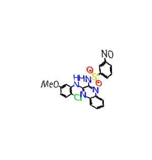 COc1ccc(Cl)c(Nc2nc3ccccc3nc2NS(=O)(=O)c2cccc(N=O)c2)c1